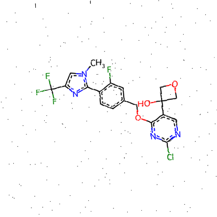 Cn1cc(C(F)(F)F)nc1-c1ccc(COc2nc(Cl)ncc2C2(O)COC2)cc1F